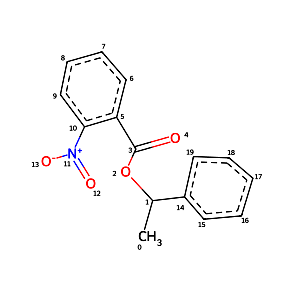 CC(OC(=O)c1ccccc1[N+](=O)[O-])c1ccccc1